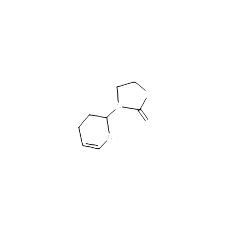 O=C1OCCN1C1CCC=CN1